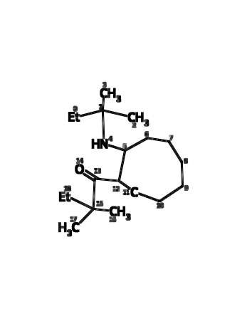 CCC(C)(C)NC1CCCCCCC1C(=O)C(C)(C)CC